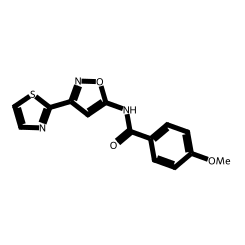 COc1ccc(C(=O)Nc2cc(-c3nccs3)no2)cc1